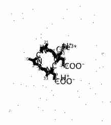 CC1=Cc2cc3[n-]c(cc4[n-]c(cc5nc(cc1n2)C=C5C)c(C)c4CCC(=O)[O-])c(CCC(=O)[O-])c3C.[Cl-].[Fe+3].[H+].[H+]